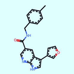 Cc1ccc(CNC(=O)c2cnc3[nH]cc(-c4ccoc4)c3c2)cc1